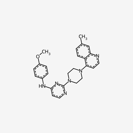 COc1ccc(Nc2ccnc(N3CCN(c4ccnc5cc(C)ccc45)CC3)n2)cc1